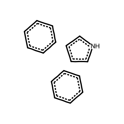 c1cc[nH]c1.c1ccccc1.c1ccccc1